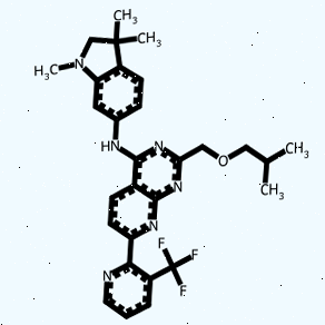 CC(C)COCc1nc(Nc2ccc3c(c2)N(C)CC3(C)C)c2ccc(-c3ncccc3C(F)(F)F)nc2n1